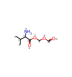 CC(C)C(N)C(=O)OCO[C]=O